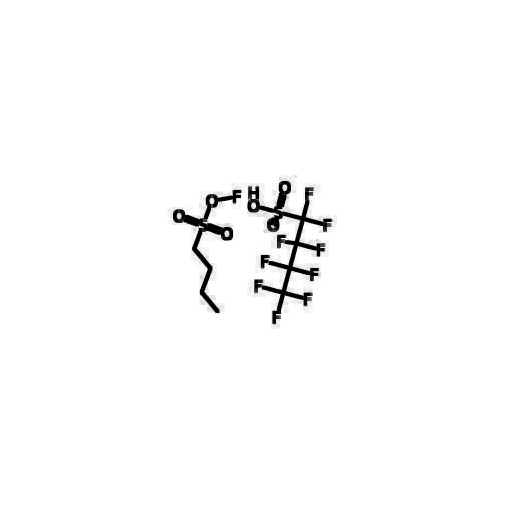 CCCCS(=O)(=O)OF.O=S(=O)(O)C(F)(F)C(F)(F)C(F)(F)C(F)(F)F